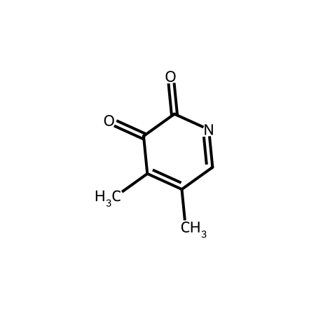 CC1=C(C)C(=O)C(=O)N=C1